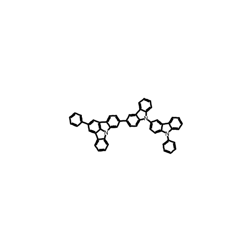 c1ccc(-c2cc3c4ccccc4n4c5cc(-c6ccc7c(c6)c6ccccc6n7-c6ccc7c(c6)c6ccccc6n7-c6ccccc6)ccc5c(c2)c34)cc1